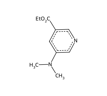 CCOC(=O)c1cncc(N(C)C)c1